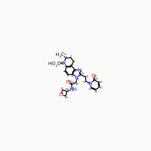 C[C@H]1CCc2c(ccc3c2nc(CCn2ccccc2=O)n3CC(=O)NC2COC2)N1C(=O)O